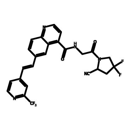 N#CC1CC(F)(F)CN1C(=O)CNC(=O)c1ccnc2ccc(C=Cc3ccnc(C(F)(F)F)c3)cc12